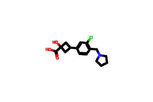 O=C(O)C1(O)CC(c2ccc(CN3CCCC3)c(Cl)c2)C1